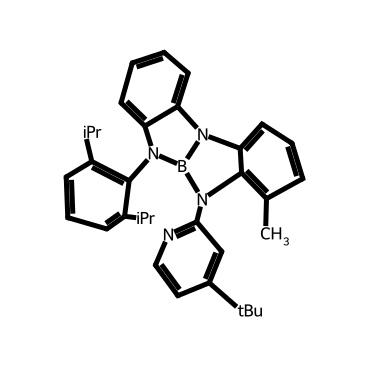 Cc1cccc2c1N(c1cc(C(C)(C)C)ccn1)B1N2c2ccccc2N1c1c(C(C)C)cccc1C(C)C